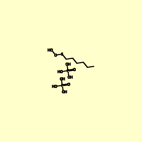 CCCCCCSOO.O=P(O)(O)O.O=P(O)(O)O